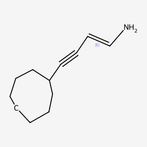 N/C=C/C#CC1CCCCCCC1